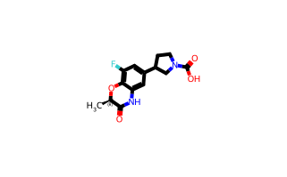 C[C@H]1Oc2c(F)cc(C3CCN(C(=O)O)C3)cc2NC1=O